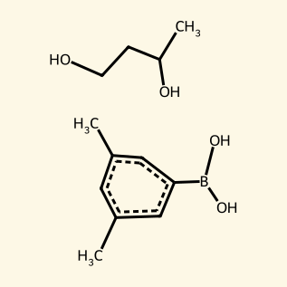 CC(O)CCO.Cc1cc(C)cc(B(O)O)c1